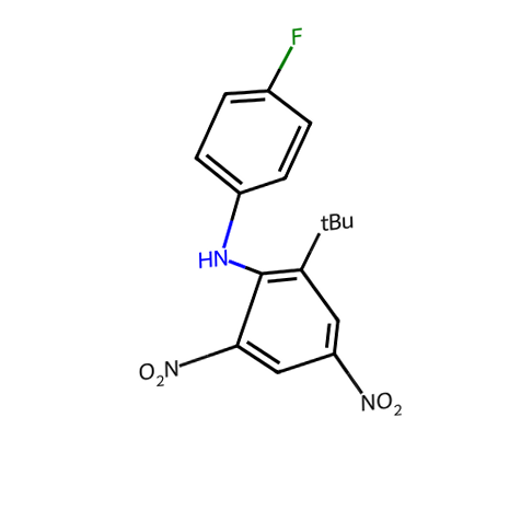 CC(C)(C)c1cc([N+](=O)[O-])cc([N+](=O)[O-])c1Nc1ccc(F)cc1